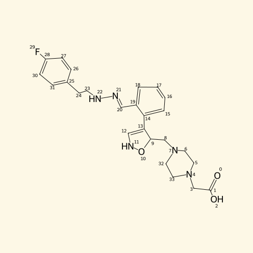 O=C(O)CN1CCN(CC2ONC=C2c2ccccc2C=NNCCc2ccc(F)cc2)CC1